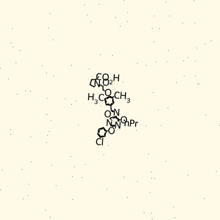 CCCOc1nc(Oc2cccc(Cl)c2)nc2oc(-c3cc(C)c(OCC(=O)N4CCC[C@H]4C(=O)O)c(C)c3)nc12